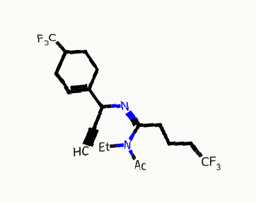 C#CC(/N=C(/CCCC(F)(F)F)N(CC)C(C)=O)C1=CCC(C(F)(F)F)CC1